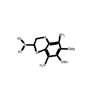 CCN(CC)C1CSc2c(N)c(OC)c(OC)c(N)c2O1